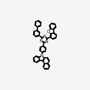 c1ccc(-c2cccc(-c3nc(-c4ccc(-n5c6ccccc6c6c7ccccc7ccc65)cc4)nc(-c4cccc5c4oc4ccccc45)n3)c2)cc1